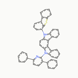 c1ccc(-c2ccc(-c3ccccc3)c(-n3c4ccccc4c4c5c6ccccc6n(-c6cccc7c6sc6ccccc67)c5ccc43)n2)cc1